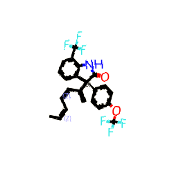 C=C(/C=C\C=C/C)[C@@]1(c2ccc(OC(F)(F)F)cc2)C(=O)Nc2c(C(F)(F)F)cccc21